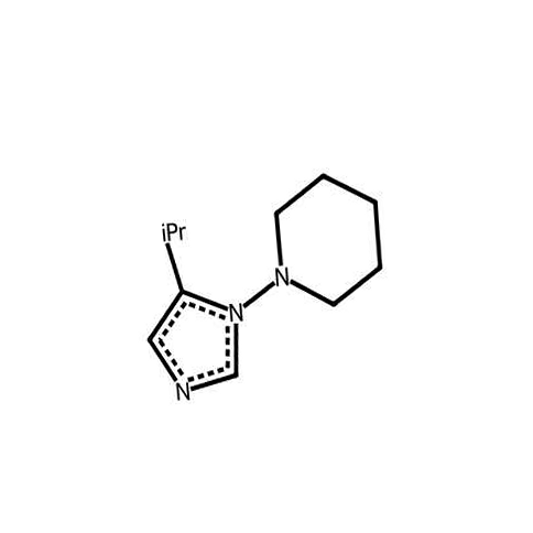 CC(C)c1cncn1N1CCCCC1